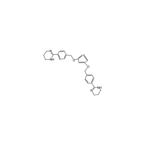 c1cc(OCc2ccc(C3=NCCCN3)cc2)cc(OCc2ccc(C3=NCCCN3)cc2)c1